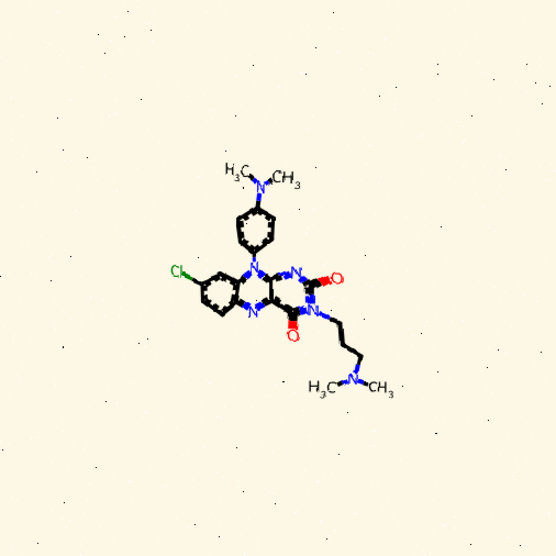 CN(C)CCCn1c(=O)nc2n(-c3ccc(N(C)C)cc3)c3cc(Cl)ccc3nc-2c1=O